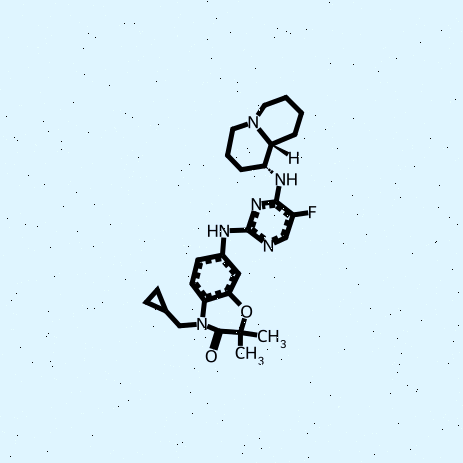 CC1(C)Oc2cc(Nc3ncc(F)c(N[C@@H]4CCCN5CCCC[C@H]45)n3)ccc2N(CC2CC2)C1=O